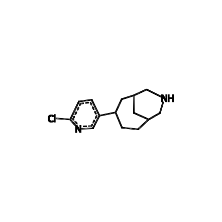 Clc1ccc(C2CCC3CNCC(C3)C2)cn1